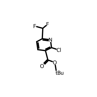 CC(C)(C)OC(=O)c1ccc(C(F)F)nc1Cl